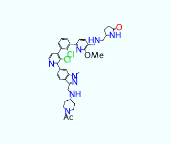 COc1nc(-c2cccc(-c3ccnc(-c4ccc5c(CNC6CCN(C(C)=O)CC6)nn(C)c5c4)c3Cl)c2Cl)ccc1CNCC1CCC(=O)N1